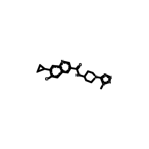 Cn1nnnc1N1CCC(NC(=O)c2cnc3cc(C4CC4)c(Cl)cc3c2)CC1